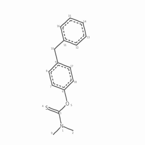 CN(C)C(=S)Oc1ccc(Cc2ccccc2)cc1